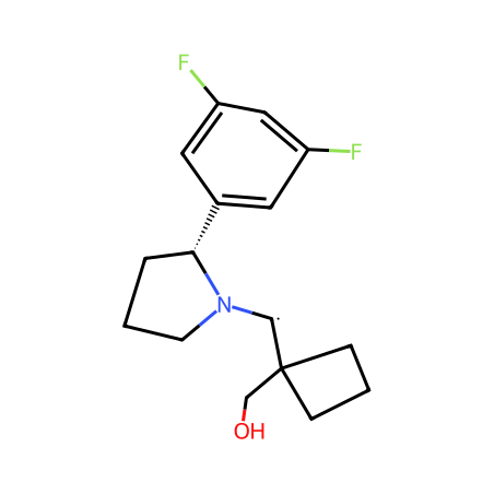 OCC1([CH]N2CCC[C@@H]2c2cc(F)cc(F)c2)CCC1